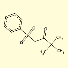 CC(C)(C)C(=O)CS(=O)(=O)c1ccccc1